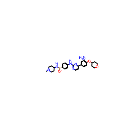 CN1CCC(N[S+]([O-])c2ccc(Nc3nccc(-c4ccc(OC5CCOCC5)c(N)c4)n3)cc2)CC1